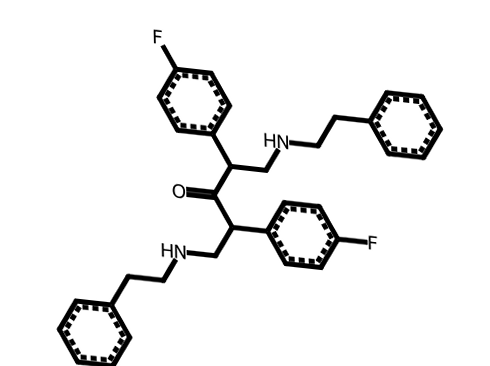 O=C(C(CNCCc1ccccc1)c1ccc(F)cc1)C(CNCCc1ccccc1)c1ccc(F)cc1